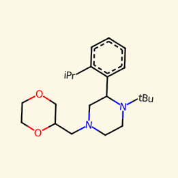 CC(C)c1ccccc1C1CN(CC2COCCO2)CCN1C(C)(C)C